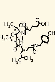 CCC[C@H](NC(=O)[C@@H](NC(=O)CCCC(=O)O)[C@@H](C)CC)C(=O)N[C@H](CCC(=O)NCc1ccc(O)cc1)CC(C)C